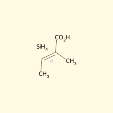 C/C=C(\C)C(=O)O.[SiH4]